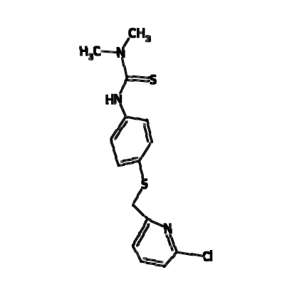 CN(C)C(=S)Nc1ccc(SCc2cccc(Cl)n2)cc1